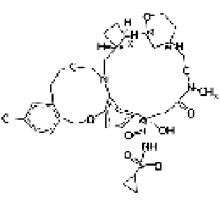 CN1CC[C@@H]2CCO[C@@H](C2)[C@@H]2CC[C@H]2CN2CCCCc3cc(Cl)ccc3COc3ccc(cc32)[C@](O)(C(=O)NS(=O)(=O)C2CC2)CC1=O